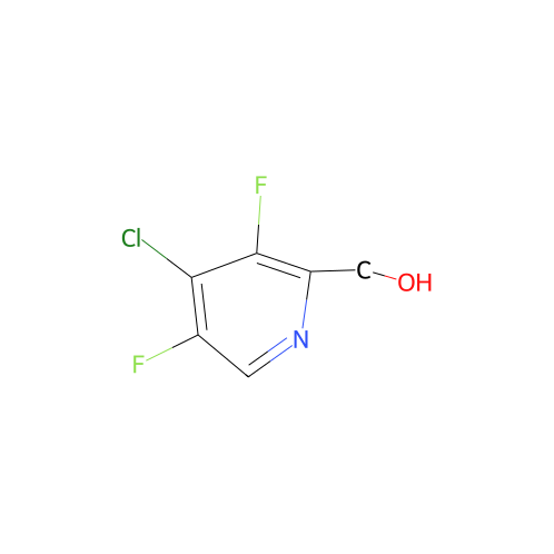 OCc1ncc(F)c(Cl)c1F